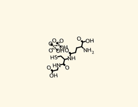 NC(CCC(=O)NC(CS)C(=O)NCC(=O)O)C(=O)O.O=S(=O)(O)S(=O)(=O)O